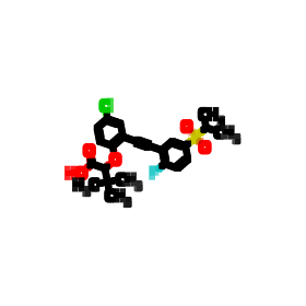 CC(C)S(=O)(=O)c1ccc(F)c(C#Cc2cc(Cl)ccc2OC(C(=O)O)C(C)(C)C)c1